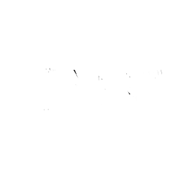 COC[C@H](CCC(=O)O)N1CCN(C(=O)O)[C@@H](C)C1=O